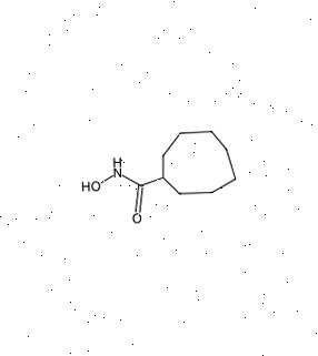 O=C(NO)C1CCCCCCC1